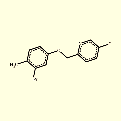 Cc1ccc(OCc2ccc(F)cn2)cc1C(C)C